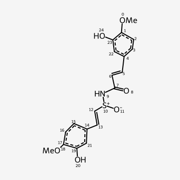 COc1ccc(C=CC(=O)N[S+]([O-])C=Cc2ccc(OC)c(O)c2)cc1O